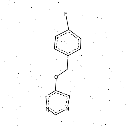 Fc1ccc(COc2cncnc2)cc1